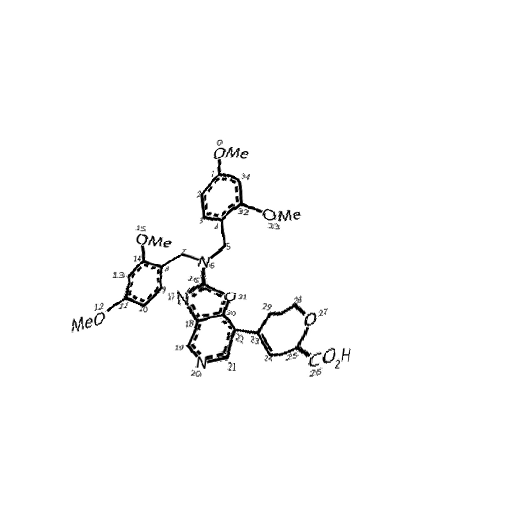 COc1ccc(CN(Cc2ccc(OC)cc2OC)c2nc3cncc(C4=CC(C(=O)O)OCC4)c3o2)c(OC)c1